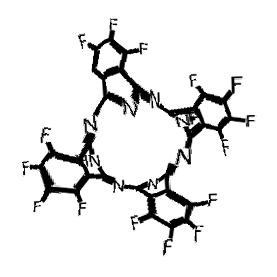 Fc1cc2c(c(F)c1F)-c1nc-2nc2[nH]c(nc3nc(nc4c5c(F)c(F)c(F)c(F)c5c(n1)n4F)-c1c(F)c(F)c(F)c(F)c1-3)c1c(F)c(F)c(F)c(F)c21